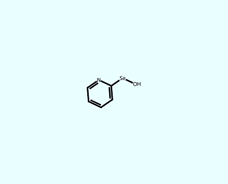 O[Se]c1ccccn1